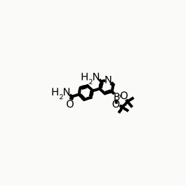 CC1(C)OB(c2cnc(N)c(-c3ccc(C(N)=O)cc3)c2)OC1(C)C